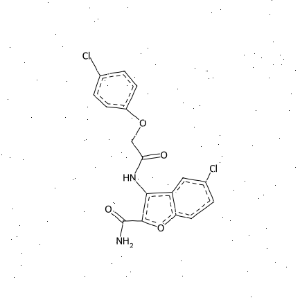 NC(=O)c1oc2ccc(Cl)cc2c1NC(=O)COc1ccc(Cl)cc1